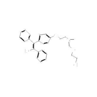 CC/C(=C(\c1ccccc1)c1ccc(OCCN(C)COCCCl)cc1)c1ccccc1